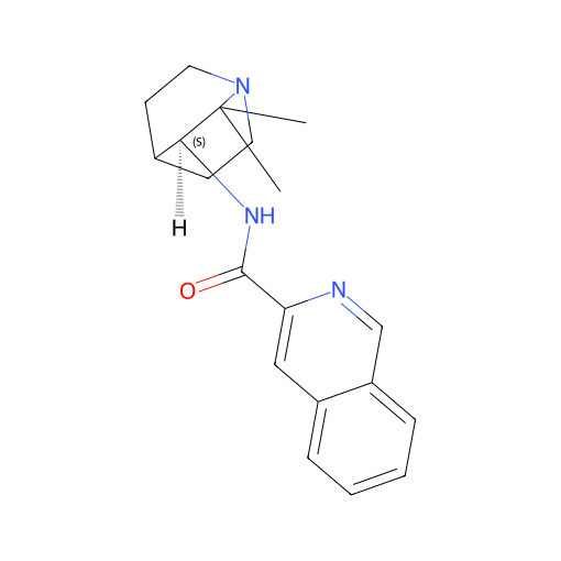 CC1(C)[C@@H](NC(=O)c2cc3ccccc3cn2)C2CCN1CC2